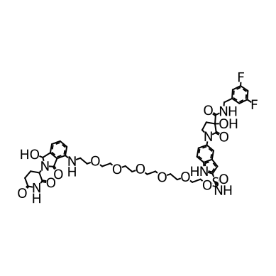 N=S(=O)(OCCOCCOCCOCCOCCOCCNc1cccc2c1C(=O)N(C1CCC(=O)NC1=O)C2O)c1cc2cc(N3CCC(O)(C(=O)NCc4cc(F)cc(F)c4)C3=O)ccc2[nH]1